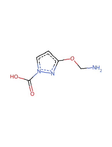 NCOc1ccn(C(=O)O)n1